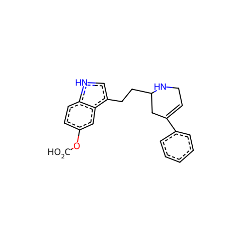 O=C(O)Oc1ccc2[nH]cc(CCC3CC(c4ccccc4)=CCN3)c2c1